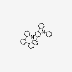 c1ccc(-n2c3ccccc3c3cc4c(cc32)c2sc3cccc5c6ccccc6c6ccccc6n4c2c35)cc1